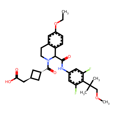 CCOc1ccc2c(c1)CCN(C(=O)[C@H]1C[C@H](CC(=O)O)C1)C2C(=O)Nc1cc(F)c(C(C)(C)COC)c(F)c1